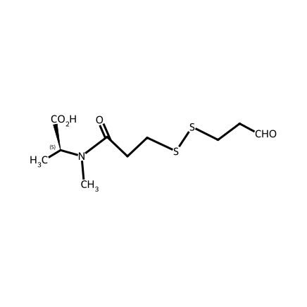 C[C@@H](C(=O)O)N(C)C(=O)CCSSCCC=O